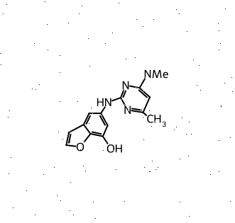 CNc1cc(C)nc(Nc2cc(O)c3occc3c2)n1